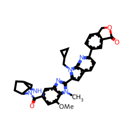 COc1cc(C(=O)N2CC3CCC2C3N)cc2nc(-c3cc4ccc(-c5ccc6c(c5)C(=O)OC6)nc4n3CC3CC3)n(C)c12